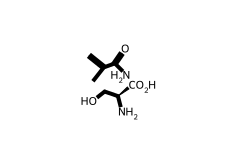 C=C(C)C(N)=O.N[C@@H](CO)C(=O)O